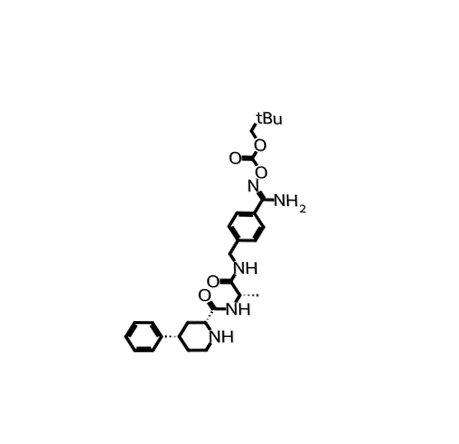 C[C@H](NC(=O)[C@H]1C[C@@H](c2ccccc2)CCN1)C(=O)NCc1ccc(/C(N)=N/OC(=O)OCC(C)(C)C)cc1